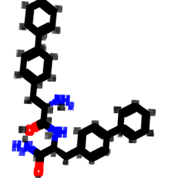 NC(=O)[C@H](Cc1ccc(-c2ccccc2)cc1)NC(=O)[C@@H](N)Cc1ccc(-c2ccccc2)cc1